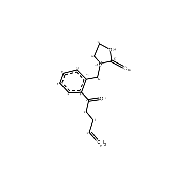 C=CCCC(=O)c1ccccc1CN1CCOC1=O